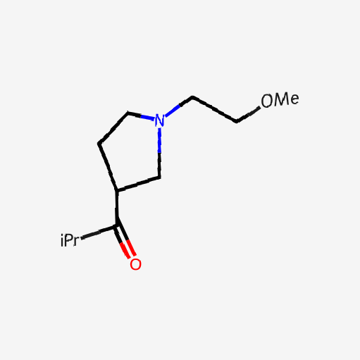 COCCN1CCC(C(=O)C(C)C)C1